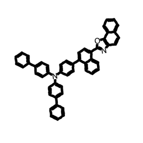 c1ccc(-c2ccc(N(c3ccc(-c4ccccc4)cc3)c3ccc(-c4ccc(-c5nc6ccc7ccccc7c6o5)c5ccccc45)cc3)cc2)cc1